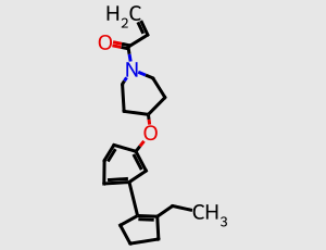 C=CC(=O)N1CCC(Oc2cccc(C3=C(CC)CCC3)c2)CC1